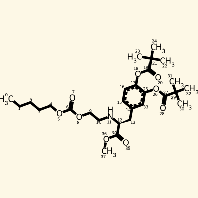 CCCCCOC(=O)OCCN[C@@H](Cc1ccc(OC(=O)C(C)(C)C)c(OC(=O)C(C)(C)C)c1)C(=O)OC